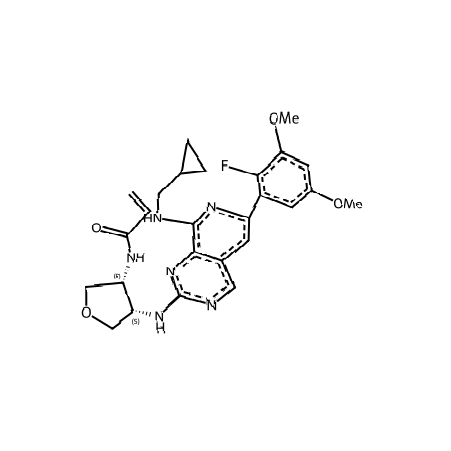 C=CC(=O)N[C@H]1COC[C@H]1Nc1ncc2cc(-c3cc(OC)cc(OC)c3F)nc(NCC3CC3)c2n1